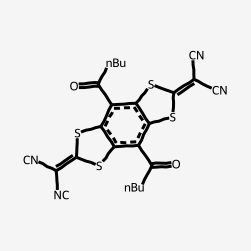 [C-]#[N+]C([N+]#[C-])=C1Sc2c(c(C(=O)CCCC)c3c(c2C(=O)CCCC)SC(=C(C#N)C#N)S3)S1